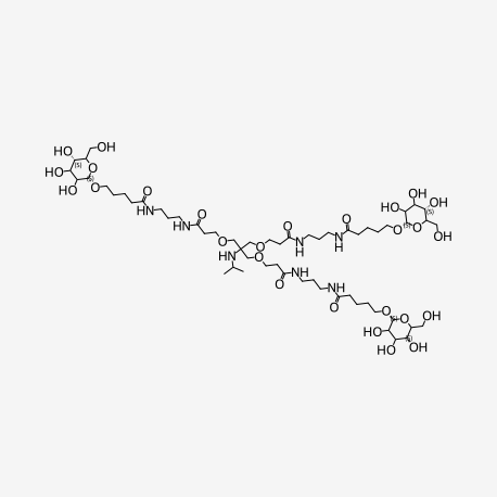 CC(C)NC(COCCC(=O)NCCCNC(=O)CCCCO[C@H]1OC(CO)[C@@H](O)C(O)C1O)(COCCC(=O)NCCCNC(=O)CCCCO[C@H]1OC(CO)[C@@H](O)C(O)C1O)COCCC(=O)NCCCNC(=O)CCCCO[C@H]1OC(CO)[C@@H](O)C(O)C1O